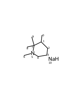 CC1CCCN(C)C1(C)C.[NaH]